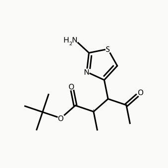 C[C](C(=O)OC(C)(C)C)C(C(C)=O)c1csc(N)n1